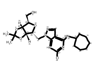 CC1(C)O[C@@H]2[C@H](O1)[C@@H](CO)O[C@@H]2Cn1ncc2c(NC3CCCCCC3)nc(Cl)nc21